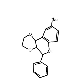 CC(C)(C)c1ccc2c(c1)C1OCCOC1C(c1ccccc1)N2